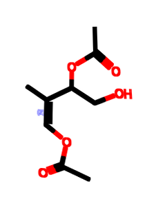 CC(=O)O/C=C(/C)C(CO)OC(C)=O